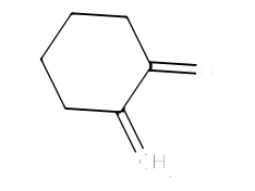 C=C1CCCCC1=O